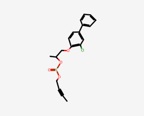 CC#CCOS(=O)OC(C)COc1ccc(-c2ccccc2)cc1Cl